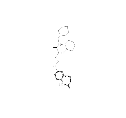 O=C(CCCOc1ccc2[nH]c(=O)ccc2c1)N(CC1CCCCC1)C1CCCCC1Cl